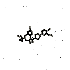 Cc1nc(N2CCC(c3nnc4n3-c3ccc(Cl)cc3CN(C3(C)CC3)C4)CC2)ccc1F